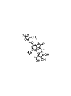 Cc1oc(=O)oc1COc1nc(N)nc2c1sc(=O)n2CC1O[C@H](CO)[C@@H](O)[C@H]1O